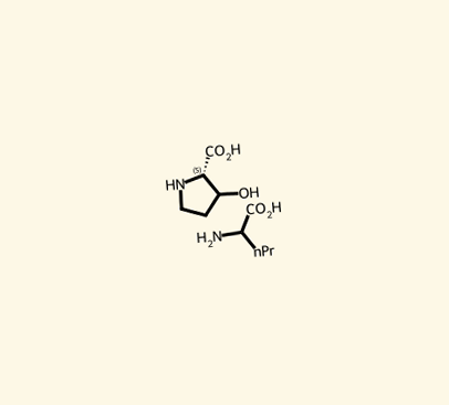 CCCC(N)C(=O)O.O=C(O)[C@H]1NCCC1O